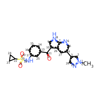 Cn1cc(-c2cnc3[nH]cc(C(=O)c4cccc(NS(=O)(=O)C5CC5)c4)c3c2)cn1